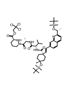 CC(C)[C@H](NC(=O)[C@]1(/C=C/c2ccc3ccc([C@@H](C)O[Si](C)(C)C(C)(C)C)nc3c2)CC[C@](C)(O[Si](C)(C)C(C)(C)C)CC1)C(=O)N[C@@H](C)C(=O)N1CCC[C@@H](C(=O)OCC(Cl)(Cl)Cl)N1